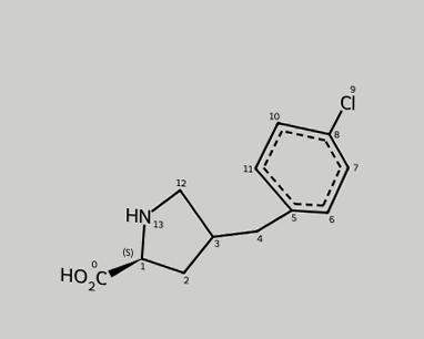 O=C(O)[C@@H]1CC(Cc2ccc(Cl)cc2)CN1